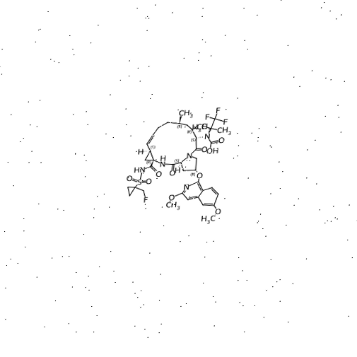 COc1ccc2c(O[C@@H]3C[C@H]4C(=O)N[C@]5(C(=O)NS(=O)(=O)C6(CF)CC6)C[C@H]5C=CCC[C@@H](C)C[C@@H](C)[C@H](N(C(=O)O)C(C)(C)C(F)(F)F)C(=O)N4C3)nc(OC)cc2c1